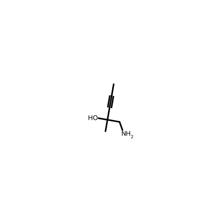 CC#CC(C)(O)CN